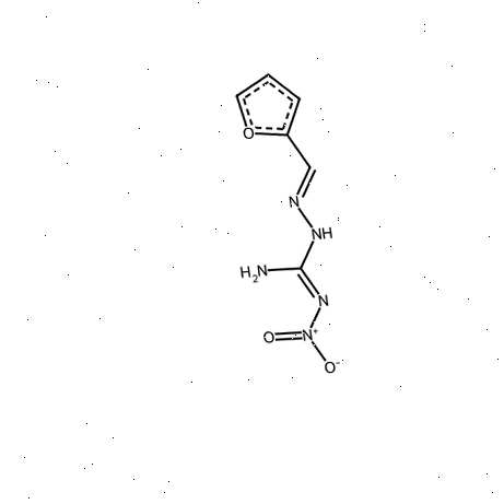 N/C(=N\[N+](=O)[O-])N/N=C/c1ccco1